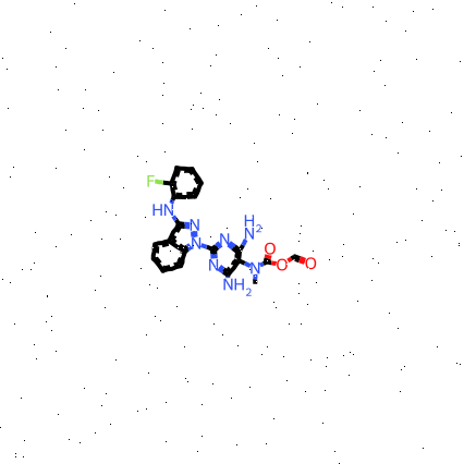 CN(C(=O)OC=O)c1c(N)nc(-n2nc(Nc3ccccc3F)c3ccccc32)nc1N